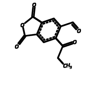 CCC(=O)c1cc2c(cc1C=O)C(=O)OC2=O